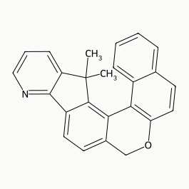 CC1(C)c2cccnc2-c2ccc3c(c21)-c1c(ccc2ccccc12)OC3